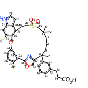 CC1(C)CCCC(C)(c2cccc(CCC(=O)O)c2)c2coc(n2)-c2cc(ccc2F)Oc2c(F)cc3[nH]ccc3c2CCS(=O)(=O)C1